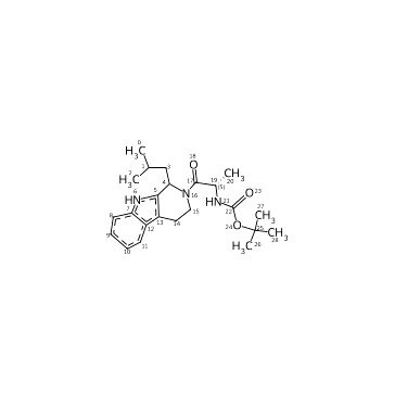 CC(C)CC1c2[nH]c3ccccc3c2CCN1C(=O)[C@H](C)NC(=O)OC(C)(C)C